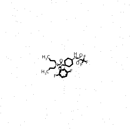 CCCN(CCC)S(=O)(=O)[C@]1(c2cc(F)ccc2F)CC[C@H](NS(=O)(=O)C(F)(F)F)CC1